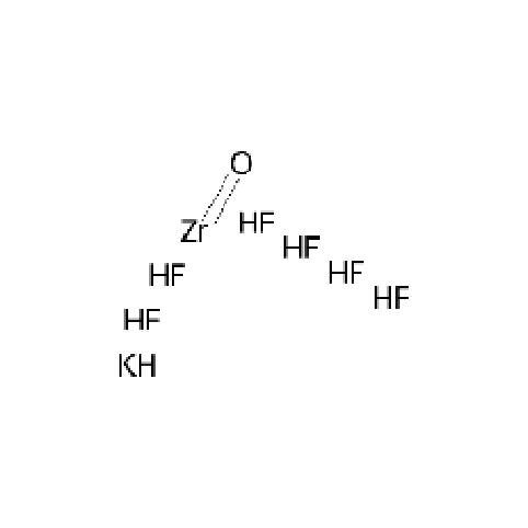 F.F.F.F.F.F.[KH].[O]=[Zr]